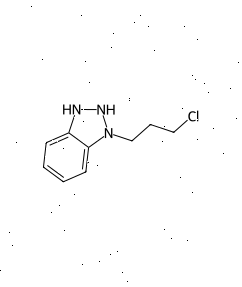 ClCCCN1NNc2ccccc21